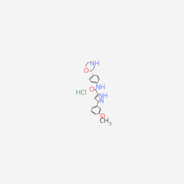 COc1cccc(-c2cc(C(=O)Nc3ccc([C@H]4CNCCO4)cc3)[nH]n2)c1.Cl